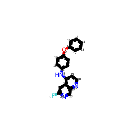 Fc1cc2c(Nc3ccc(Oc4ccccc4)cc3)ccnc2cn1